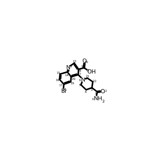 NC(=O)C1CCN(c2c(C(=O)O)cnc3ccc(Br)cc23)CC1